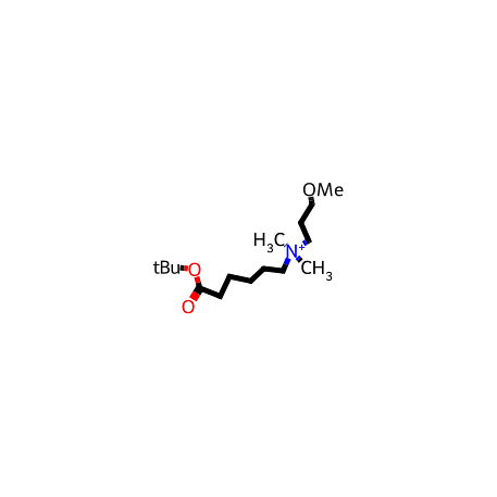 COCCC[N+](C)(C)CCCCCC(=O)OC(C)(C)C